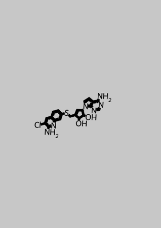 Nc1nc2cc(SCC3=CC(n4ccc5c(N)ncnc54)C(O)C3O)ccc2cc1Cl